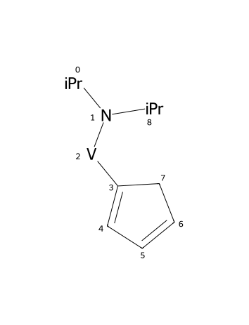 CC(C)[N]([V][C]1=CC=CC1)C(C)C